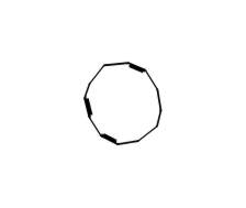 C1=CCCC=CCCCCC=C1